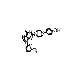 COc1cccc(-n2cnc3c(C)nc(N4CCN(c5ccc(O)cc5)CC4)nc32)n1